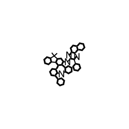 CC1(C)c2ccccc2-c2c1cc1c3c2c2cccc4c5ccccc5n(c5cccc(c35)n1-c1nc3ccc5ccccc5c3nc1-c1ccccc1)c42